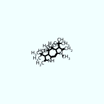 C=C1NC2=C=C3C(C(C(C)(C)C)C(=C)N3C)C(C)(C)C(C)(C)C2C1C(C)(C)C